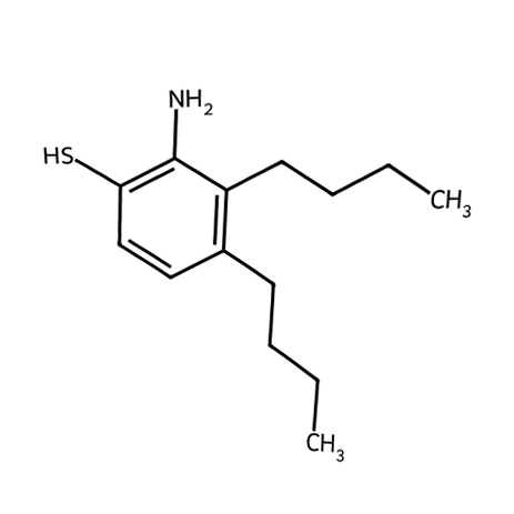 CCCCc1ccc(S)c(N)c1CCCC